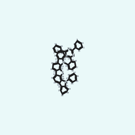 c1ccc(-c2nc(-c3ccccc3)nc(-c3ccccc3-n3c4ccccc4c4ccc5c6ccc7c8ccccc8n(-c8ccccc8)c7c6sc5c43)n2)cc1